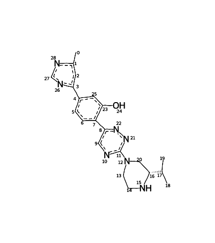 Cc1cc(-c2ccc(-c3cnc(N4CCN[C@@H](C(C)C)C4)nn3)c(O)c2)ncn1